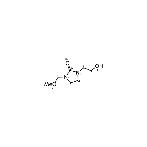 COCN1CCN(CCO)C1=O